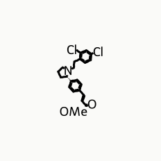 COC(=O)C=Cc1ccc([C@@H]2CCCN2CCc2ccc(Cl)cc2Cl)cc1